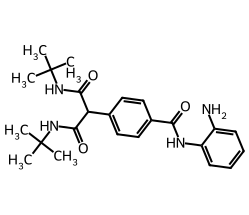 CC(C)(C)NC(=O)C(C(=O)NC(C)(C)C)c1ccc(C(=O)Nc2ccccc2N)cc1